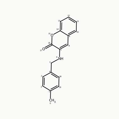 Cc1ccc(CNc2cc3ccccc3oc2=O)cc1